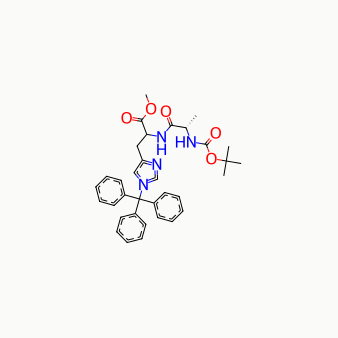 COC(=O)C(Cc1cn(C(c2ccccc2)(c2ccccc2)c2ccccc2)cn1)NC(=O)[C@H](C)NC(=O)OC(C)(C)C